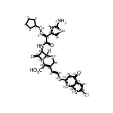 Nc1nc(C(=NOC2CCCC2)C(=O)NC2C(=O)N3C(C(=O)O)=C(C=CSc4cc(=O)c5cc(Cl)sc5s4)CS[C@@H]23)cs1